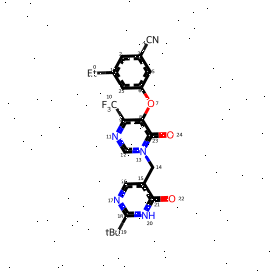 CCc1cc(C#N)cc(Oc2c(C(F)(F)F)ncn(Cc3cnc(C(C)(C)C)[nH]c3=O)c2=O)c1